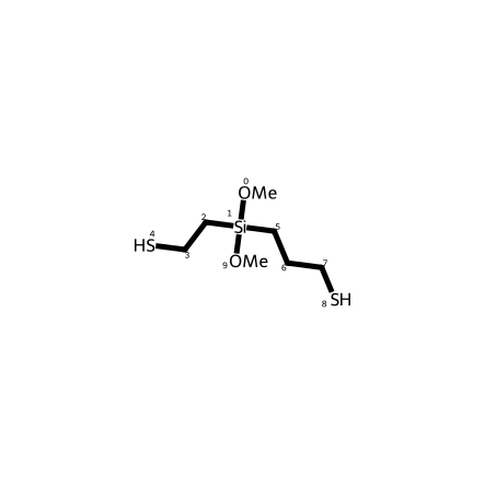 CO[Si](CCS)(CCCS)OC